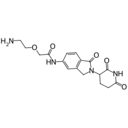 NCCOCC(=O)Nc1ccc2c(c1)CN(C1CCC(=O)NC1=O)C2=O